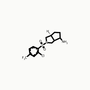 NC1CC[C@@H]2CN(S(=O)(=O)c3ccc(C(F)(F)F)cc3Cl)CC12